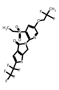 CCS(=O)(=O)c1cc(OCC(C)(F)F)cnc1N1Cc2sc(C(F)(F)C(F)(F)F)cc2C1=O